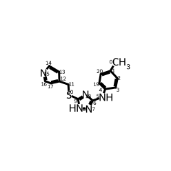 Cc1ccc(Nc2n[nH]c(SCc3ccncc3)n2)cc1